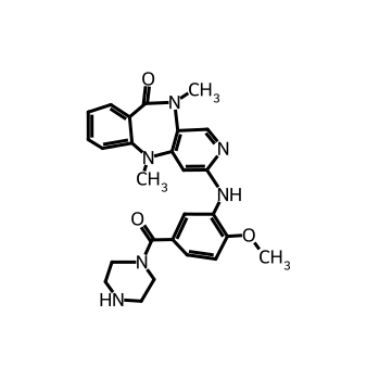 COc1ccc(C(=O)N2CCNCC2)cc1Nc1cc2c(cn1)N(C)C(=O)c1ccccc1N2C